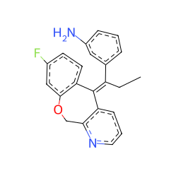 CCC(=C1c2ccc(F)cc2OCc2ncccc21)c1cccc(N)c1